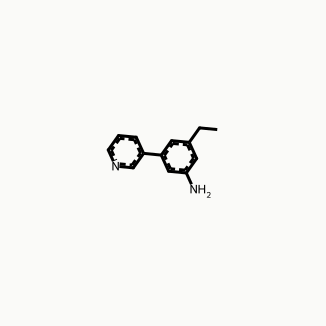 CCc1cc(N)cc(-c2cccnc2)c1